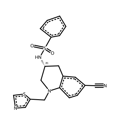 N#Cc1ccc2c(c1)C[C@@H](NS(=O)(=O)c1ccccc1)CN2Cc1cncs1